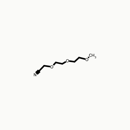 COCCOCCOCC#N